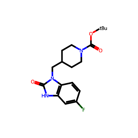 CC(C)(C)OC(=O)N1CCC(Cn2c(=O)[nH]c3cc(F)ccc32)CC1